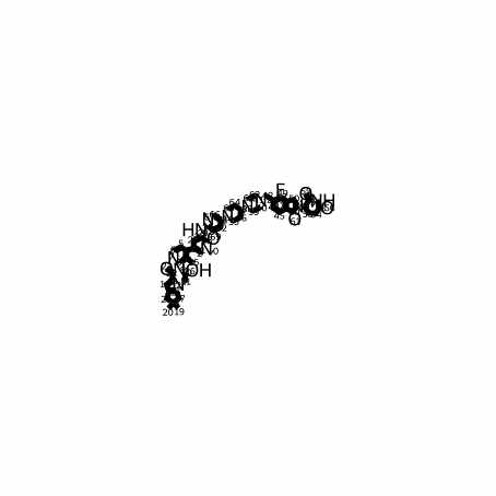 Cn1cc(-c2ccnc(N3CCn4c(cc5c4CC(C)(C)C5)C3=O)c2CO)cc(Nc2ccc(N3CCC(N4CCN(Cc5ccc6c(c5F)CN(C5CCC(=O)NC5=O)C6=O)CC4)CC3)cn2)c1=O